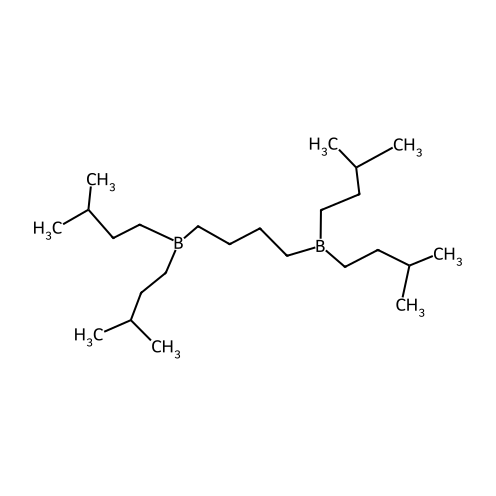 CC(C)CCB(CCCCB(CCC(C)C)CCC(C)C)CCC(C)C